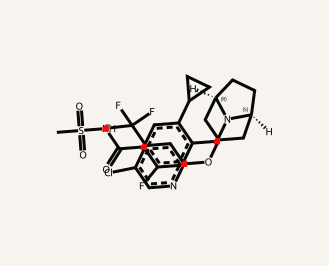 CS(=O)(=O)NC(=O)c1cc(C2CC2)c(CN2[C@@H]3CC[C@H]2CC(Oc2cc(C(F)(F)F)c(Cl)cn2)C3)cc1F